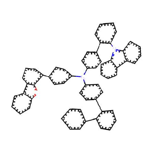 c1ccc(-c2ccccc2-c2ccc(N(c3ccc(-c4ccccc4-n4c5ccccc5c5ccccc54)cc3)c3ccc(-c4cccc5c4oc4ccccc45)cc3)cc2)cc1